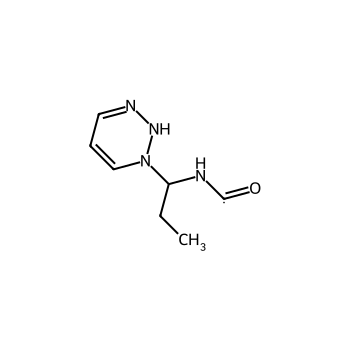 CCC(N[C]=O)N1C=CC=NN1